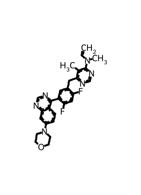 C=CN(C)c1ncnc(Cc2cc(-c3ncnc4cc(N5CCOCC5)ccc34)c(F)cc2F)c1C